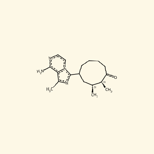 Cc1nc(C2CCCCC(=O)[C@@H](C)[C@@H](C)C2)n2ccnc(N)c12